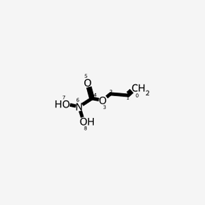 C=CCOC(=O)N(O)O